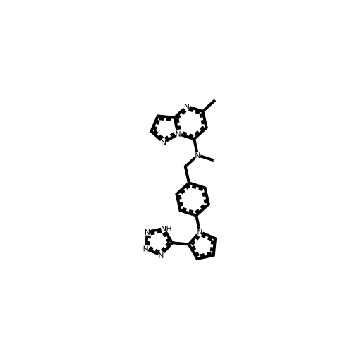 Cc1cc(N(C)Cc2ccc(-n3cccc3-c3nnn[nH]3)cc2)n2nccc2n1